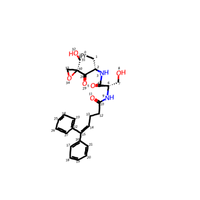 CC(C)C[C@H](NC(=O)[C@H](CO)NC(=O)CCC=C(c1ccccc1)c1ccccc1)C(=O)[C@]1(CO)CO1